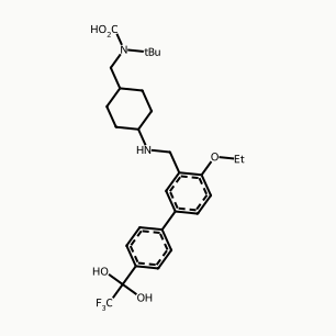 CCOc1ccc(-c2ccc(C(O)(O)C(F)(F)F)cc2)cc1CNC1CCC(CN(C(=O)O)C(C)(C)C)CC1